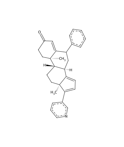 C[C@]12CC[C@H]3[C@@H](CC(c4ccccc4)C4=CC(=O)CC[C@@]43C)C1=CC=C2c1cccnc1